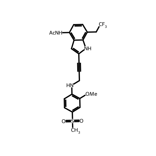 COc1cc(S(C)(=O)=O)ccc1NCC#Cc1cc2c(NC(C)=O)ccc(CC(F)(F)F)c2[nH]1